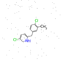 Cc1cc(CC2=CC=C(Cl)CN2)ccc1Cl